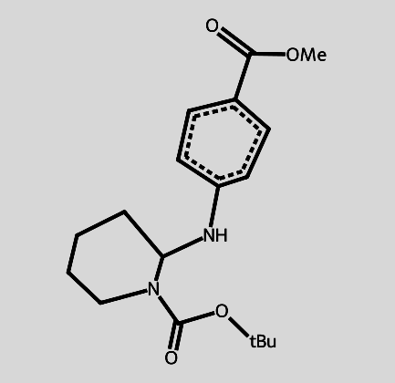 COC(=O)c1ccc(NC2CCCCN2C(=O)OC(C)(C)C)cc1